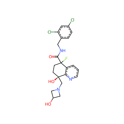 O=C(NCc1ccc(Cl)cc1Cl)C1(F)CC[C@@](O)(CN2CC(O)C2)c2ncccc21